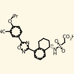 CC(C)Oc1ccc(-c2nc(-c3cccc4c3CCC[C@@H]4NS(=O)(=O)CC(=O)O)no2)cc1C#N